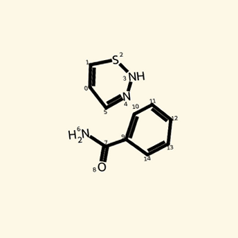 C1=CSNN=C1.NC(=O)c1ccccc1